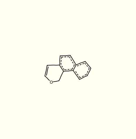 C1=Cc2ccc3ccccc3c2CO1